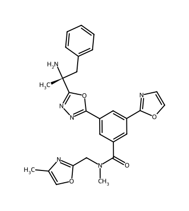 Cc1coc(CN(C)C(=O)c2cc(-c3ncco3)cc(-c3nnc([C@](C)(N)Cc4ccccc4)o3)c2)n1